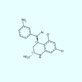 CC(=O)N(c1cccc([N+](=O)[O-])c1)[C@@H]1C[C@@H](C(=O)O)Nc2cc(Cl)cc(Cl)c21